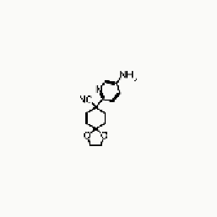 N#CC1(c2ccc(N)cn2)CCC2(CC1)OCCO2